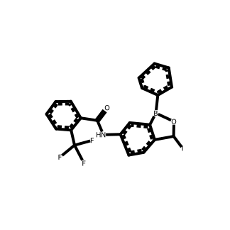 O=C(Nc1ccc2c(c1)B(c1ccccc1)OC2I)c1ccccc1C(F)(F)F